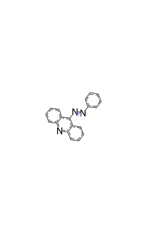 c1ccc(/N=N/c2c3ccccc3nc3ccccc23)cc1